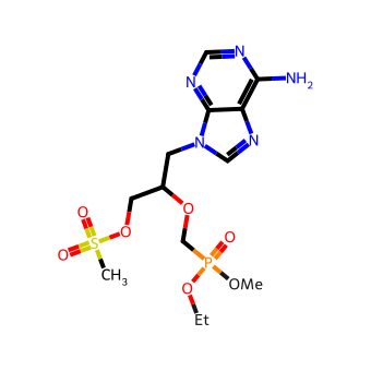 CCOP(=O)(COC(COS(C)(=O)=O)Cn1cnc2c(N)ncnc21)OC